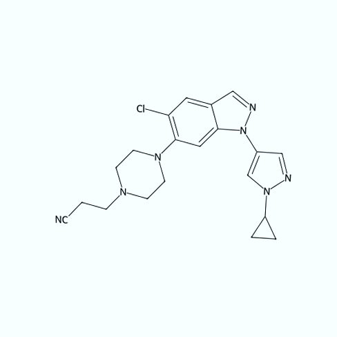 N#CCCN1CCN(c2cc3c(cnn3-c3cnn(C4CC4)c3)cc2Cl)CC1